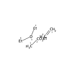 C=C.CCOC(C)=O.CCOCC